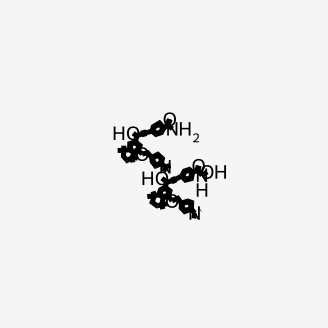 CN(C)c1ccc(COc2cc(C(O)C#Cc3ccc(C(=O)NO)cc3)cc3c2C(C)(C)CCC3(C)C)cc1.CN(C)c1ccc(COc2cc(C(O)C#Cc3ccc(C(N)=O)cc3)cc3c2C(C)(C)CCC3(C)C)cc1